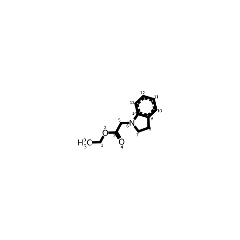 CCOC(=O)CN1CCc2ccccc21